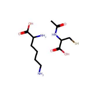 CC(=O)NC(CS)C(=O)O.NCCCCC(N)C(=O)O